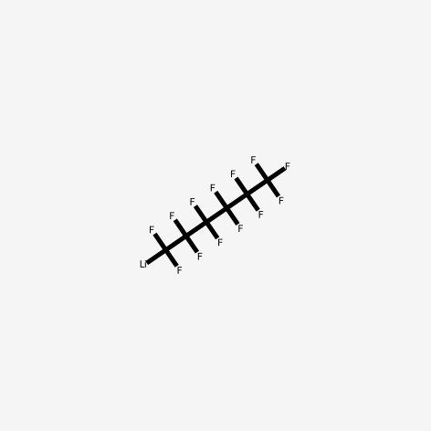 [Li][C](F)(F)C(F)(F)C(F)(F)C(F)(F)C(F)(F)C(F)(F)F